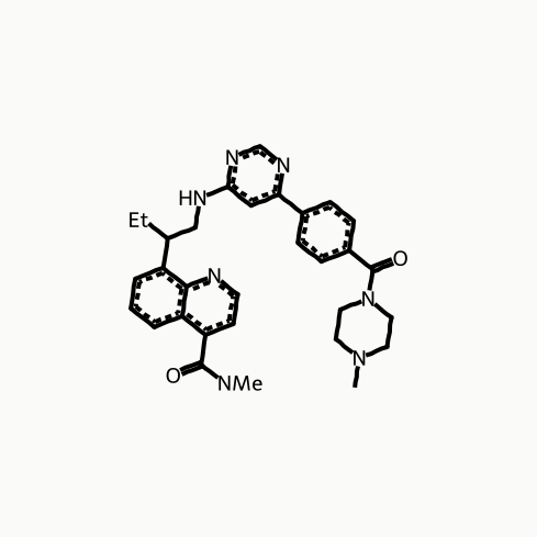 CCC(CNc1cc(-c2ccc(C(=O)N3CCN(C)CC3)cc2)ncn1)c1cccc2c(C(=O)NC)ccnc12